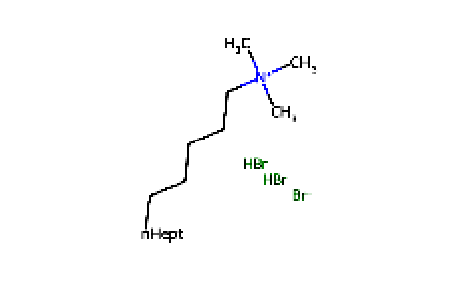 Br.Br.CCCCCCCCCCCC[N+](C)(C)C.[Br-]